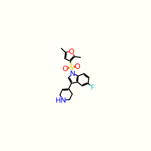 Cc1cc(S(=O)(=O)n2cc(C3=CCNCC3)c3cc(F)ccc32)c(C)o1